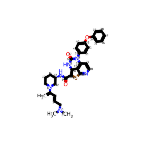 C=C(/C=C/CN(C)C)N1CCC[C@@H](NC(=O)c2sc3nccc4c3c2NC(=O)N4c2ccc(Oc3ccccc3)cc2)C1